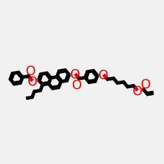 C=CC(=O)OCCCCCCOc1ccc(C(=O)Oc2ccc3c(ccc4c(CCCC)c(OC(=O)c5ccccc5)ccc43)c2)cc1